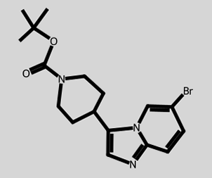 CC(C)(C)OC(=O)N1CCC(c2cnc3ccc(Br)cn23)CC1